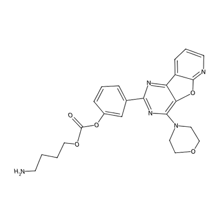 NCCCCOC(=O)Oc1cccc(-c2nc(N3CCOCC3)c3oc4ncccc4c3n2)c1